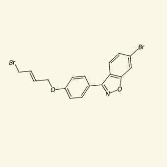 BrC/C=C/COc1ccc(-c2noc3cc(Br)ccc23)cc1